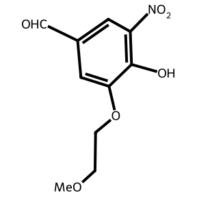 COCCOc1cc(C=O)cc([N+](=O)[O-])c1O